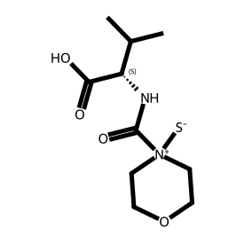 CC(C)[C@H](NC(=O)[N+]1([S-])CCOCC1)C(=O)O